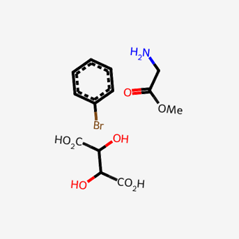 Brc1ccccc1.COC(=O)CN.O=C(O)C(O)C(O)C(=O)O